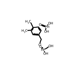 Cc1ccc(CCl)cc1C.O=[PH](O)O.O=[PH](O)O